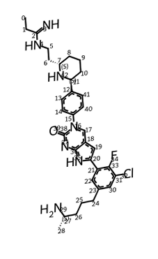 CCC(=N)NCC[C@@H]1CCC[C@@H](c2ccc(-n3cc4cc(-c5cc(CCC[C@H](C)N)cc(Cl)c5F)[nH]c4nc3=O)cc2)N1